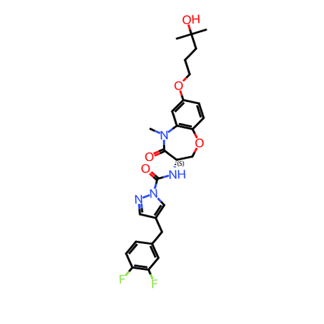 CN1C(=O)[C@@H](NC(=O)n2cc(Cc3ccc(F)c(F)c3)cn2)COc2ccc(OCCCC(C)(C)O)cc21